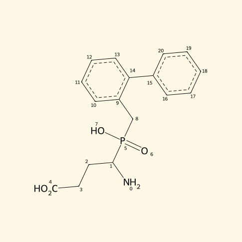 NC(CCC(=O)O)P(=O)(O)Cc1ccccc1-c1ccccc1